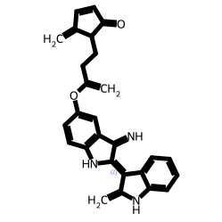 C=C(CCC1C(=C)C=CC1=O)Oc1ccc2c(c1)C(=N)/C(=c1/c(=C)[nH]c3ccccc13)N2